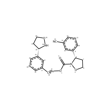 CC(C)(C)OC(=O)N1OCC[C@H]1c1cncc(C#N)c1.N#Cc1cncc([C@@H]2CCON2)c1